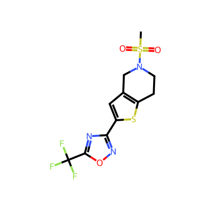 CS(=O)(=O)N1CCc2sc(-c3noc(C(F)(F)F)n3)cc2C1